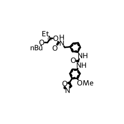 CCCCOC[C@@H](CC)OC(=O)NCc1cccc(NC(=O)Nc2ccc(-c3cnco3)c(OC)c2)c1